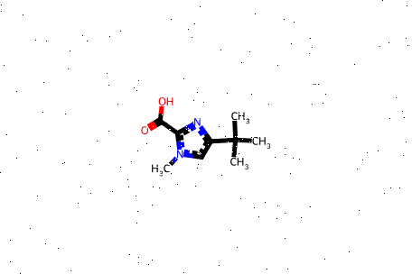 Cn1cc(C(C)(C)C)nc1C(=O)O